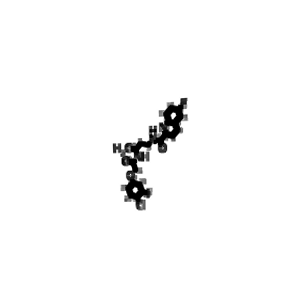 C=C(CCNC(=O)c1ccc2cc(F)ccc2n1)NC(=O)COc1ccc(Cl)c(F)c1